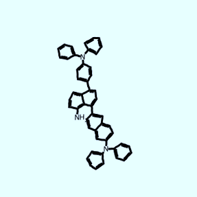 Nc1cccc2c(-c3ccc(N(c4ccccc4)c4ccccc4)cc3)ccc(-c3ccc4cc(N(c5ccccc5)c5ccccc5)ccc4c3)c12